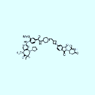 COc1cc(C(=O)NC2CCN(CC3CN(c4ccc5c(c4)C(=O)N(C4CCC(=O)NC4=O)C5=O)C3)CC2)ccc1Nc1ncc2c(n1)N(C1CCCC1)CC(F)(F)C(=O)N2C